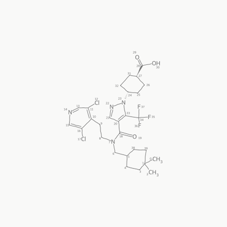 CC1(C)CCC(CN(CCc2c(Cl)cncc2Cl)C(=O)c2cnn([C@H]3CC[C@H](C(=O)O)CC3)c2C(F)(F)F)CC1